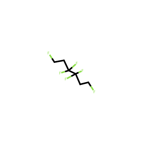 FCCC(F)(F)C(F)(F)CCF